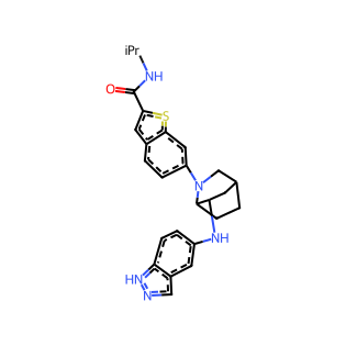 CC(C)NC(=O)c1cc2ccc(N3CC4CCC3C(Nc3ccc5[nH]ncc5c3)C4)cc2s1